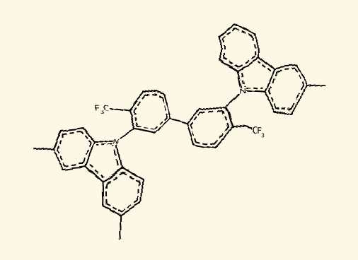 Cc1ccc2c(c1)c1ccccc1n2-c1cc(-c2ccc(C(F)(F)F)c(-n3c4ccc(C)cc4c4cc(C)ccc43)c2)ccc1C(F)(F)F